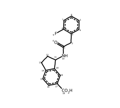 O=C(Cc1ccccc1F)NC1CCc2ccc(C(=O)O)cc21